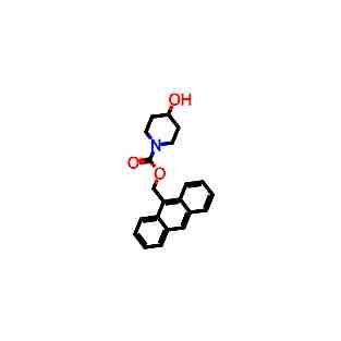 O=C(OCc1c2ccccc2cc2ccccc12)N1CCC(O)CC1